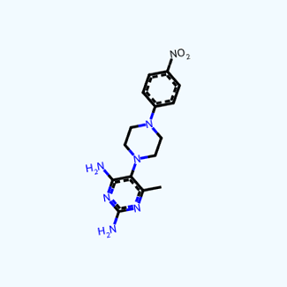 Cc1nc(N)nc(N)c1N1CCN(c2ccc([N+](=O)[O-])cc2)CC1